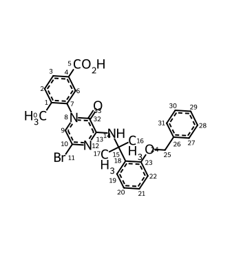 Cc1ccc(C(=O)O)cc1-n1cc(Br)nc(NC(C)(C)c2ccccc2OCc2ccccc2)c1=O